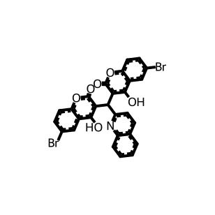 O=c1oc2ccc(Br)cc2c(O)c1C(c1ccc2ccccc2n1)c1c(O)c2cc(Br)ccc2oc1=O